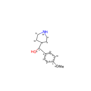 COc1ccc(C(O)C2CCNCC2)cc1